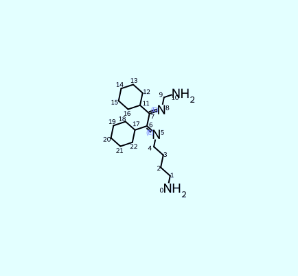 NCCCC/N=C(/C(=N/CN)C1CCCCC1)C1CCCCC1